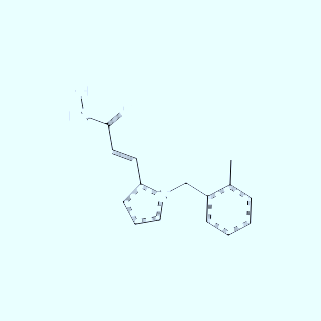 Cc1ccccc1Cn1cccc1/C=C/C(=O)NO